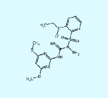 CC[S+]([O-])c1ccccc1S(=O)(=O)N(N)C(=N)Nc1nc(OC)cc(OC)n1